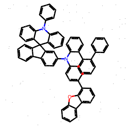 c1ccc(-c2ccccc2-c2ccccc2N(c2ccc(-c3cccc4c3oc3ccccc34)cc2)c2ccc3c(c2)C2(c4ccccc4-3)c3ccccc3N(c3ccccc3)c3ccccc32)cc1